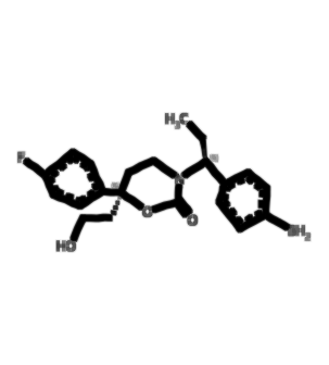 Bc1ccc([C@H](CC)N2CC[C@](CCO)(c3ccc(F)cc3)OC2=O)cc1